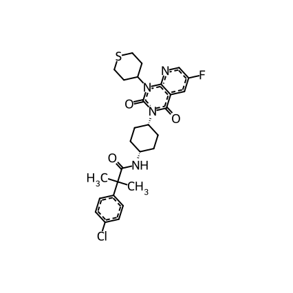 CC(C)(C(=O)N[C@H]1CC[C@@H](n2c(=O)c3cc(F)cnc3n(C3CCSCC3)c2=O)CC1)c1ccc(Cl)cc1